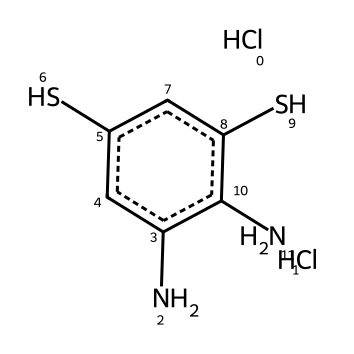 Cl.Cl.Nc1cc(S)cc(S)c1N